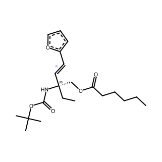 CCCCCC(=O)OC[C@](/C=C/c1ccco1)(CC)NC(=O)OC(C)(C)C